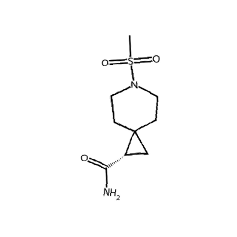 CS(=O)(=O)N1CCC2(CC1)C[C@@H]2C(N)=O